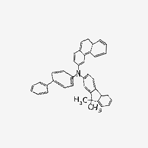 CC1(C)c2ccccc2-c2ccc(N(c3ccc(-c4ccccc4)cc3)c3ccc4c(c3)=C3C=CC=CC3CC=4)cc21